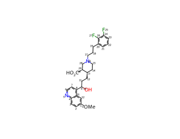 COc1ccc2nccc(C(O)CC[C@@H]3CCN(CCCc4cccc(F)c4F)C[C@@H]3C(=O)O)c2c1